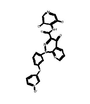 O=C(Nc1c(Cl)cncc1Cl)c1nn(-c2cccc(Sc3ccc[n+]([O-])c3)c2)c2ncccc2c1=O